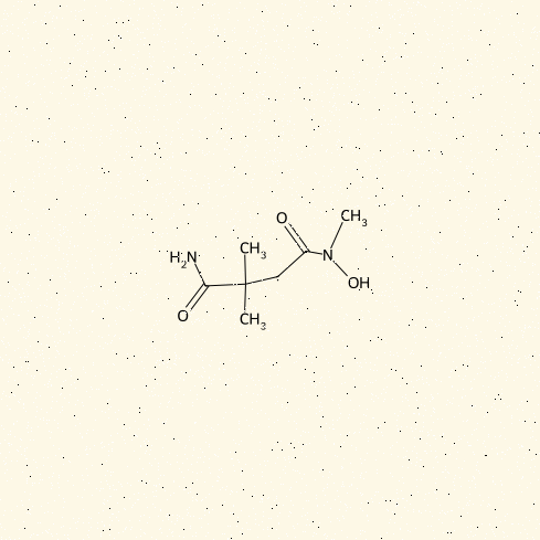 CN(O)C(=O)[CH]C(C)(C)C(N)=O